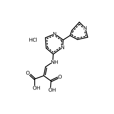 Cl.O=C(O)C(=CNc1ccnc(-c2ccncc2)n1)C(=O)O